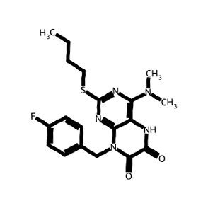 CCCCSc1nc(N(C)C)c2[nH]c(=O)c(=O)n(Cc3ccc(F)cc3)c2n1